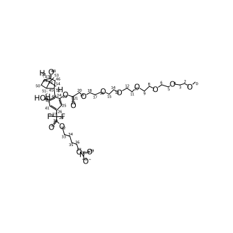 COCCOCCOCCOCCOCCOCCOCC(=O)Oc1cc(C(F)(F)C(=O)OCCCCO[N+](=O)[O-])cc(O)c1[C@@H]1CC(=O)[C@@H]2C[C@H]1C2(C)C